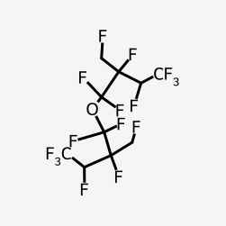 FCC(F)(C(F)C(F)(F)F)C(F)(F)OC(F)(F)C(F)(CF)C(F)C(F)(F)F